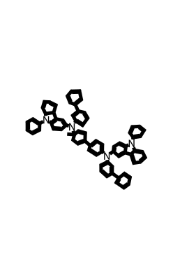 CC1(N(c2cccc(-c3ccccc3)c2)c2ccc3c(c2)C2C=CC=CC2N3c2ccccc2)C=CC(c2ccc(N(c3cccc(-c4ccccc4)c3)c3ccc4c(c3)c3ccccc3n4-c3ccccc3)cc2)=CC1